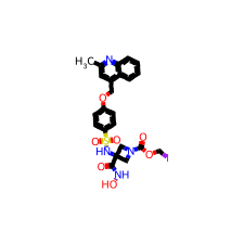 Cc1cc(COc2ccc(S(=O)(=O)NC3(C(=O)NO)CN(C(=O)OCI)C3)cc2)c2ccccc2n1